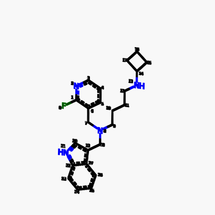 Fc1ncccc1CN(CCCCNC1CCC1)Cc1c[nH]c2ccccc12